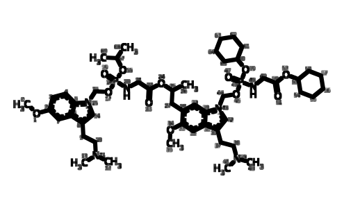 COc1ccc2c(c1)c(CCN(C)C)cn2COP(=O)(NCC(=O)OC(C)Cc1cc2c(cc1OC)c(CCN(C)C)cn2COP(=O)(NCC(=O)OC1CCCCC1)OC1CCCCC1)OC(C)C